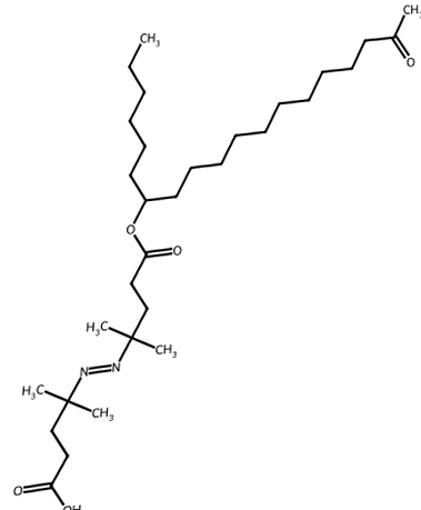 CCCCCCC(CCCCCCCCCCC(C)=O)OC(=O)CCC(C)(C)/N=N/C(C)(C)CCC(=O)O